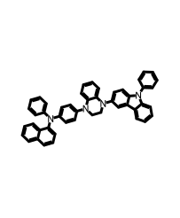 c1ccc(N(c2ccc(N3CCN(c4ccc5c(c4)c4ccccc4n5-c4ccccc4)c4ccccc43)cc2)c2cccc3ccccc23)cc1